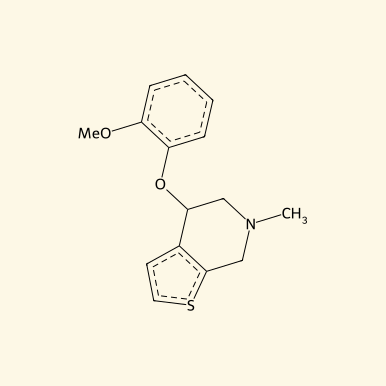 COc1ccccc1OC1CN(C)Cc2sccc21